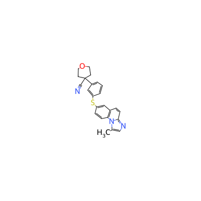 Cc1cnc2ccc3cc(Sc4cccc(C5(C#N)CCOCC5)c4)ccc3n12